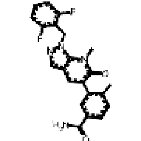 Cc1ccc(C(N)=O)cc1-c1cc2cnn(Cc3c(F)cccc3F)c2n(C)c1=O